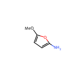 COc1ccc(N)o1